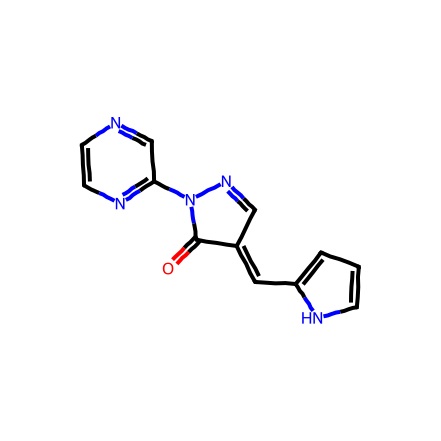 O=C1C(=Cc2ccc[nH]2)C=NN1c1cnccn1